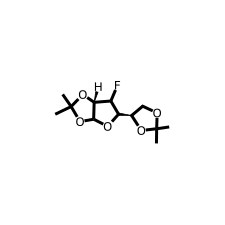 CC1(C)OC2OC([C@H]3COC(C)(C)O3)C(F)[C@H]2O1